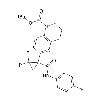 CC(C)(C)OC(=O)N1CCCc2nc(C3(C(=O)Nc4ccc(F)cc4)CC3(F)F)ccc21